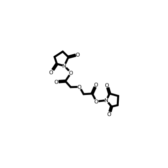 O=C(COCC(=O)ON1C(=O)CCC1=O)ON1C(=O)CCC1=O